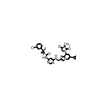 CN1C(=O)CN(c2cc(C3CC3)cn3cc(CNc4cc(NC(=O)[C@@H]5C[C@]5(F)c5cccc(Cl)c5)ncn4)nc23)C1=O